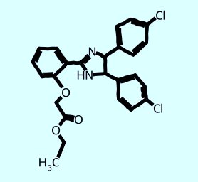 CCOC(=O)COc1ccccc1C1=NC(c2ccc(Cl)cc2)C(c2ccc(Cl)cc2)N1